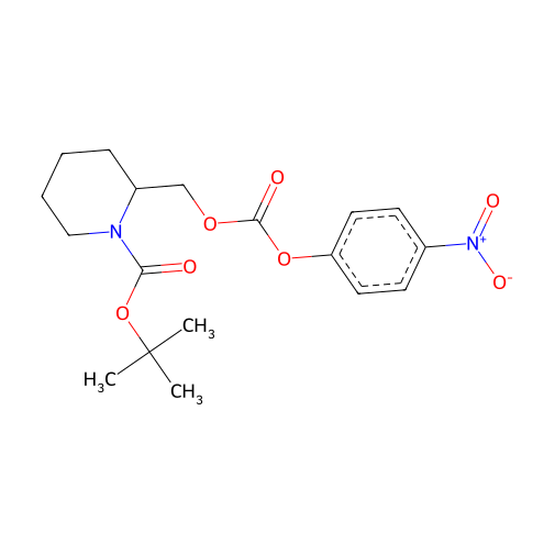 CC(C)(C)OC(=O)N1CCCCC1COC(=O)Oc1ccc([N+](=O)[O-])cc1